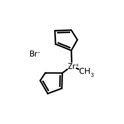 [Br-].[CH3][Zr+]([C]1=CC=CC1)[C]1=CC=CC1